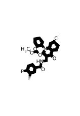 COC(=O)Oc1c(CNC(=O)c2ccc(F)c(F)c2)c(=O)c2ccc(Cl)cc2n1-c1ccccc1